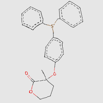 CC1(Oc2ccc([S+](c3ccccc3)c3ccccc3)cc2)CCCOC1=O